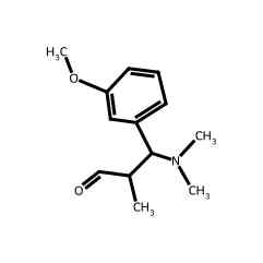 COc1cccc(C(C(C)C=O)N(C)C)c1